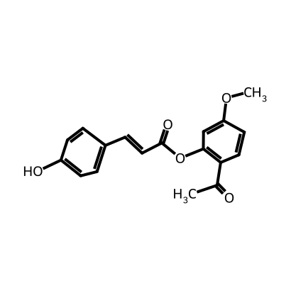 COc1ccc(C(C)=O)c(OC(=O)/C=C/c2ccc(O)cc2)c1